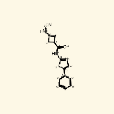 N#CNC1CC(C(=O)Nc2ncc(-c3ccccc3)s2)C1